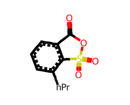 CCCc1cccc2c1S(=O)(=O)OC2=O